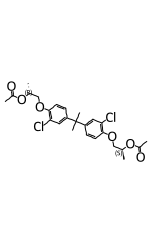 CC(=O)O[C@H](C)COc1ccc(C(C)(C)c2ccc(OC[C@H](C)OC(C)=O)c(Cl)c2)cc1Cl